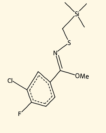 COC(=NSC[Si](C)(C)C)c1ccc(F)c(Cl)c1